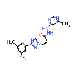 Cc1cc(-c2ncn(/C=C\C(=O)NNc3cc(C)ncn3)n2)cc(C(F)(F)F)c1